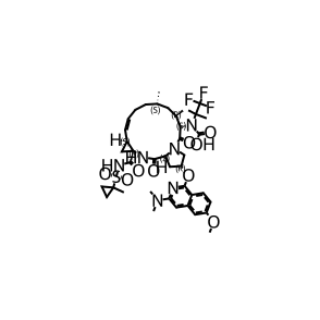 COc1ccc2c(O[C@@H]3C[C@H]4C(=O)N[C@]5(C(=O)NS(=O)(=O)C6(C)CC6)C[C@H]5C=CCC[C@H](C)C[C@@H](C)[C@H](N(C(=O)O)C(C)(C)C(F)(F)F)C(=O)N4C3)nc(N(C)C)cc2c1